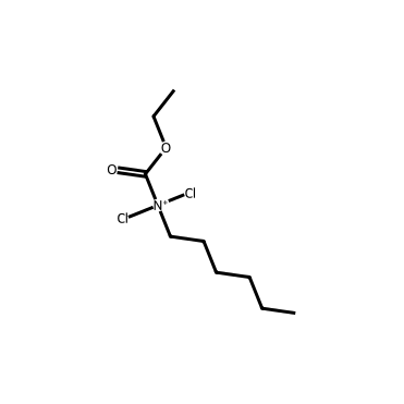 CCCCCC[N+](Cl)(Cl)C(=O)OCC